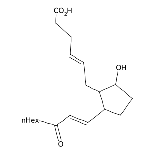 CCCCCCC(=O)C=CC1CCC(O)C1CC=CCCC(=O)O